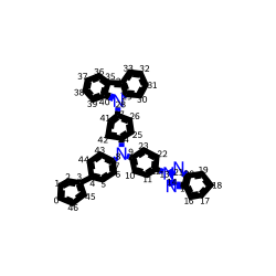 c1ccc(-c2ccc(N(c3ccc(-n4nc5ccccc5n4)cc3)c3ccc(-n4c5ccccc5c5ccccc54)cc3)cc2)cc1